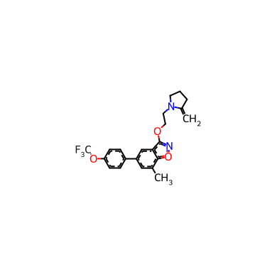 C=C1CCCN1CCOc1noc2c(C)cc(-c3ccc(OC(F)(F)F)cc3)cc12